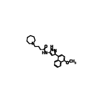 COc1ccc(-c2cc(NC(=O)CCCN3CCCCCC3)[nH]n2)c2ccccc12